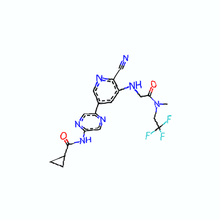 CN(CC(F)(F)F)C(=O)CNc1cc(-c2cnc(NC(=O)C3CC3)cn2)cnc1C#N